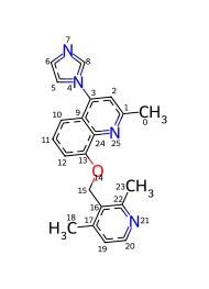 Cc1cc(-n2ccnc2)c2cccc(OCc3c(C)ccnc3C)c2n1